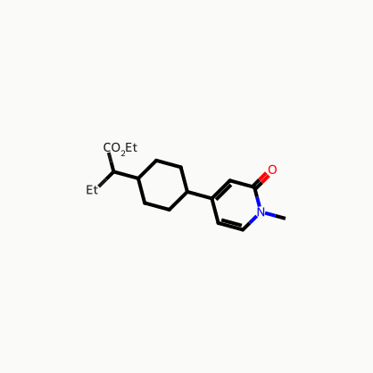 CCOC(=O)C(CC)C1CCC(c2ccn(C)c(=O)c2)CC1